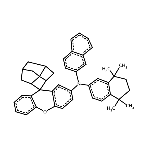 CC1(C)CCC(C)(C)c2cc(N(c3ccc4c(c3)C3(c5ccccc5O4)C4CC5CC6CC3C64C5)c3ccc4ccccc4c3)ccc21